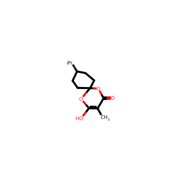 CC1=C(O)OC2(CCC(C(C)C)CC2)OC1=O